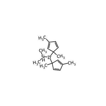 CC1=C[C](C)([Zr]([SiH](C)C)[C]2(C)C=CC(C)=C2)C=C1